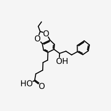 CCC1Oc2cc(CCCCC(=O)O)c(C(O)CCc3ccccc3)cc2O1